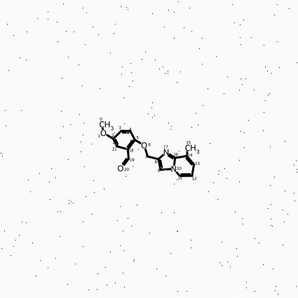 COc1ccc(OCc2cn3cccc(C)c3n2)c(C=O)c1